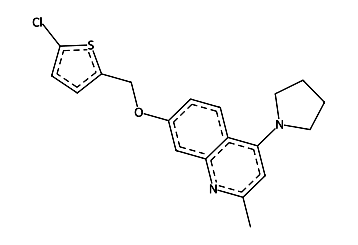 Cc1cc(N2CCCC2)c2ccc(OCc3ccc(Cl)s3)cc2n1